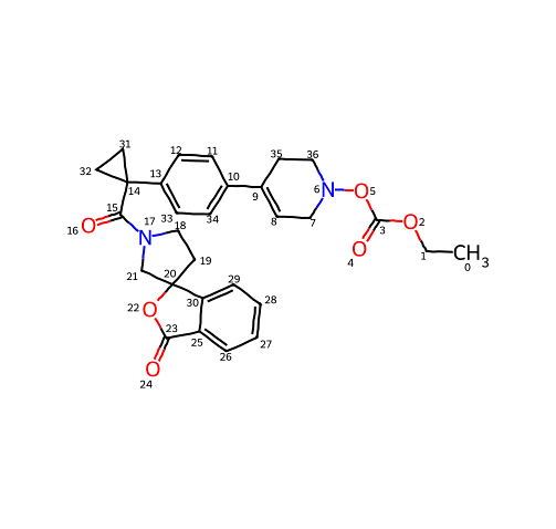 CCOC(=O)ON1CC=C(c2ccc(C3(C(=O)N4CCC5(C4)OC(=O)c4ccccc45)CC3)cc2)CC1